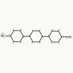 CCCC1CCC(C2CCC(C3CCC(C#N)CC3)CC2)CC1